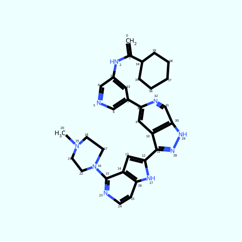 C=C(Nc1cncc(-c2cc3c(-c4cc5c(N6CCN(C)CC6)nccc5[nH]4)n[nH]c3cn2)c1)C1CCCCC1